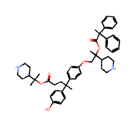 CC(CCC(=O)OC(C)(C)C1CCNCC1)(c1ccc(O)cc1)c1ccc(OCC(C)(OC(=O)C(C)(c2ccccc2)c2ccccc2)C2CCNCC2)cc1